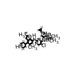 Cc1cc(Nc2ncc(Cl)c(Nc3cn(C4CC4)nc3S(=O)(=O)C(C)C)n2)c2c(c1C1CCNCC1)C[C@@H](C)O2